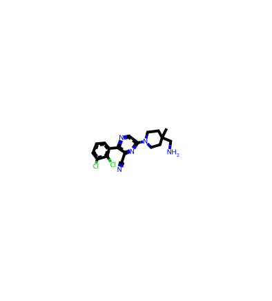 CC1(CN)CCN(c2cnc(-c3cccc(Cl)c3Cl)c(C#N)n2)CC1